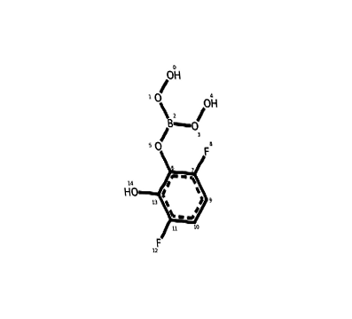 OOB(OO)Oc1c(F)ccc(F)c1O